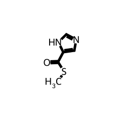 CSC(=O)c1cnc[nH]1